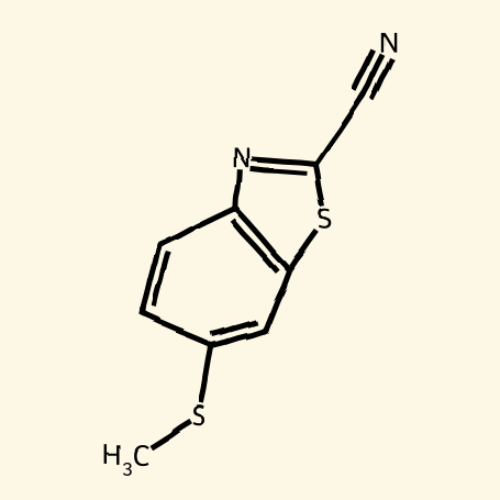 CSc1ccc2nc(C#N)sc2c1